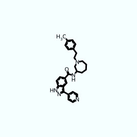 Cc1ccc(CCN2CCCCC(NC(=O)c3ccc4[nH]nc(-c5ccncc5)c4c3)C2)cc1